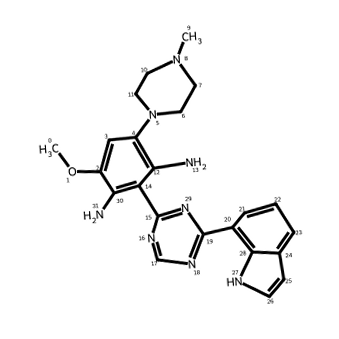 COc1cc(N2CCN(C)CC2)c(N)c(-c2ncnc(-c3cccc4cc[nH]c34)n2)c1N